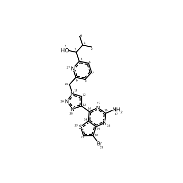 CC(C)C(O)c1cccc(Cn2cc(-c3nc(N)nc4c(Br)csc34)nn2)n1